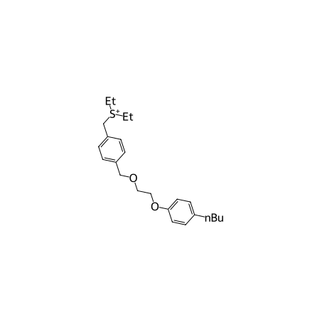 CCCCc1ccc(OCCOCc2ccc(C[S+](CC)CC)cc2)cc1